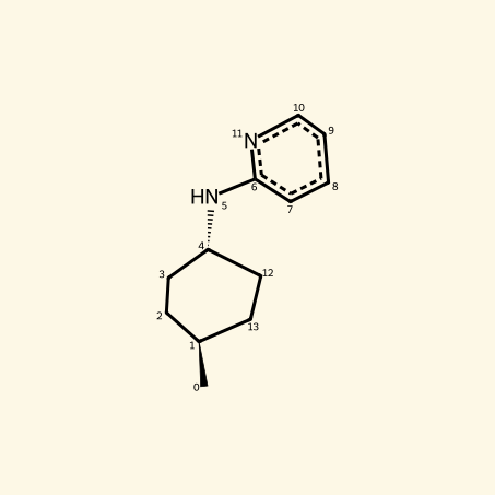 C[C@H]1CC[C@H](Nc2ccccn2)CC1